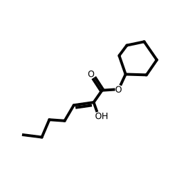 CCCCC=C(O)C(=O)OC1CCCCC1